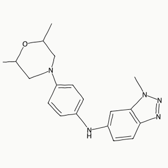 CC1CN(c2ccc(Nc3ccc4nnn(C)c4c3)cc2)CC(C)O1